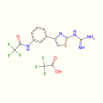 N=C(N)Nc1nc(-c2cccc(NC(=O)C(F)(F)F)c2)cs1.O=C(O)C(F)(F)F